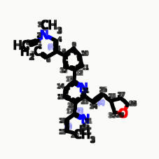 C#CN(C)/C=C(\C=C)c1cccc(-c2ccc(C(/C=C\C)=N/CC)c(/C=C/C3CCOC3)n2)c1